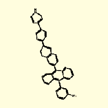 CC(C)(C)c1cccc(-c2c3ccccc3c(-c3ccc4c(c3)CCC(c3ccc(C5=CCNC=C5)cc3)=C4)c3ccccc23)c1